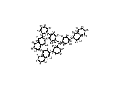 c1cc(-c2ccc3ccccc3c2)cc(N(c2ccc(-c3ccc4ccccc4c3)cc2)c2ccc(-c3ccccc3-c3ccc4ccccc4c3)cc2)c1